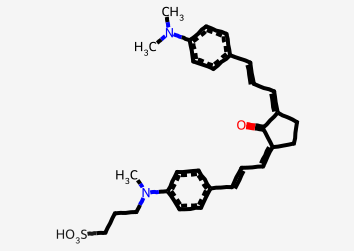 CN(C)c1ccc(C=CC=C2CCC(=CC=Cc3ccc(N(C)CCCS(=O)(=O)O)cc3)C2=O)cc1